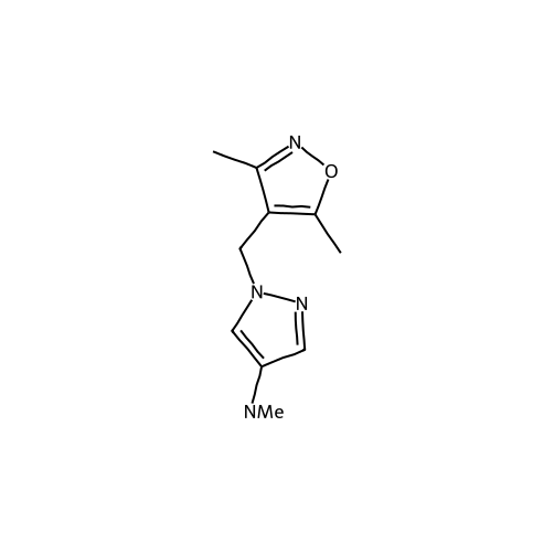 CNc1cnn(Cc2c(C)noc2C)c1